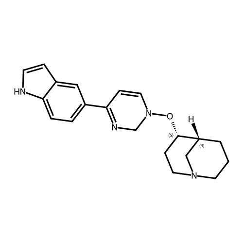 C1=CN(O[C@H]2CCN3CCC[C@@H]2C3)CN=C1c1ccc2[nH]ccc2c1